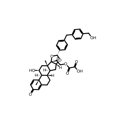 C[C@]12C=CC(=O)C=C1CC[C@@H]1[C@@H]2[C@@H](O)C[C@@]2(C)[C@H]1C[C@H]1O[C@@H](c3ccc(Cc4ccc(CO)cc4)cc3)O[C@]12C(=O)COC(=O)C(=O)O